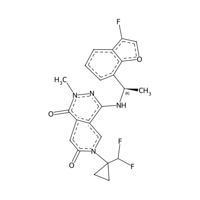 C[C@@H](Nc1nn(C)c(=O)c2cc(=O)n(C3(C(F)F)CC3)cc12)c1cccc2c(F)coc12